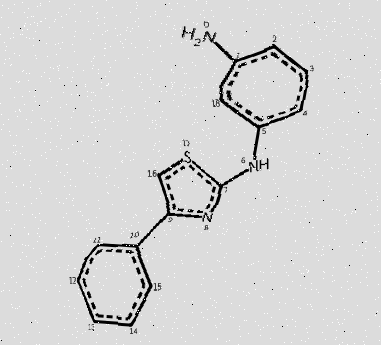 Nc1cccc(Nc2nc(-c3ccccc3)cs2)c1